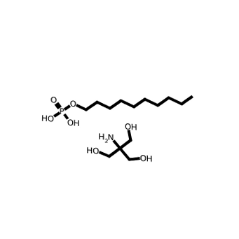 CCCCCCCCCCOP(=O)(O)O.NC(CO)(CO)CO